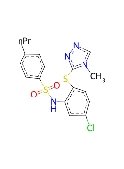 CCCc1ccc(S(=O)(=O)Nc2cc(Cl)ccc2Sc2nncn2C)cc1